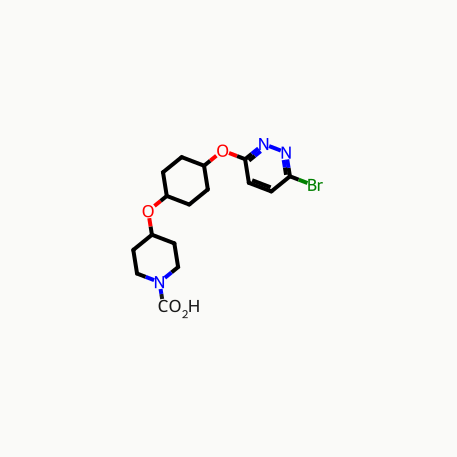 O=C(O)N1CCC(OC2CCC(Oc3ccc(Br)nn3)CC2)CC1